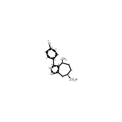 C[C@H]1CC[C@@H](C(=O)O)Cc2onc(-c3ccc(Cl)cc3)c21